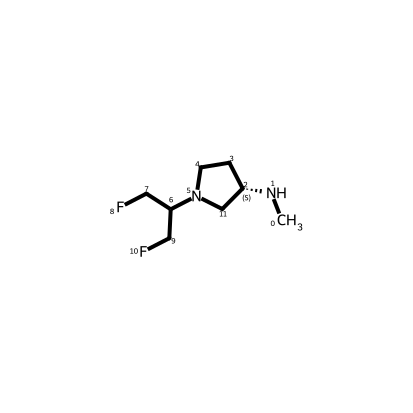 CN[C@H]1CCN(C(CF)CF)C1